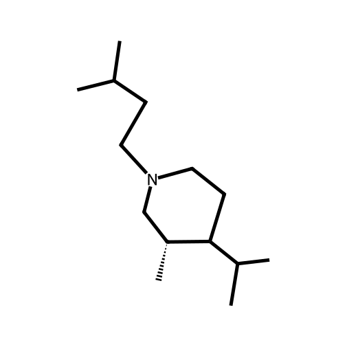 CC(C)CCN1CCC(C(C)C)[C@H](C)C1